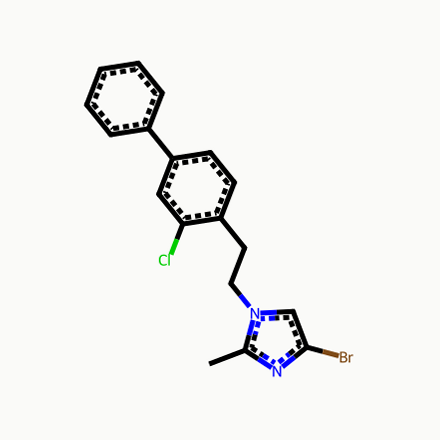 Cc1nc(Br)cn1CCc1ccc(-c2ccccc2)cc1Cl